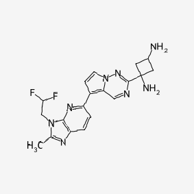 Cc1nc2ccc(-c3ccn4nc(C5(N)CC(N)C5)ncc34)nc2n1CC(F)F